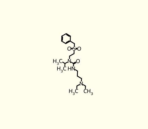 CCN(CC)CCCNC(=O)N(CCS(=O)(=O)Cc1ccccc1)C(C)C